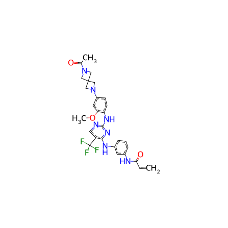 C=CC(=O)Nc1cccc(Nc2nc(Nc3ccc(N4CC5(CN(C(C)=O)C5)C4)cc3OC)ncc2C(F)(F)F)c1